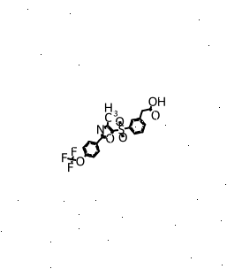 Cc1nc(-c2ccc(OC(F)(F)F)cc2)oc1S(=O)(=O)c1cccc(CC(=O)O)c1